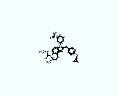 COC(=O)N1c2ccc3c(nc(Cc4ccc(OC5CC5)nc4)n3[C@@H]3CCC[C@@H](C(=O)O)C3)c2CC[C@@H]1C